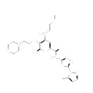 COCCNc1cc(C(=O)Nc2nnc(-n3nccc3C)s2)oc(=O)c1OCCN1CCSCC1